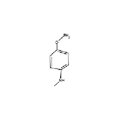 CNc1ccc(OP)cc1